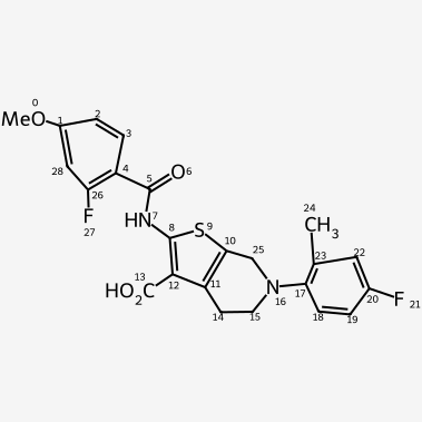 COc1ccc(C(=O)Nc2sc3c(c2C(=O)O)CCN(c2ccc(F)cc2C)C3)c(F)c1